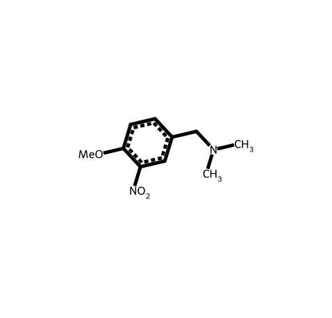 COc1ccc(CN(C)C)cc1[N+](=O)[O-]